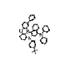 CC(C)(C)c1ccc(N2c3cccc4c3B(c3cc(-c5ccccc5)ccc3O4)c3c2cc(N(c2ccccc2)c2ccccc2)c2ccccc32)cc1